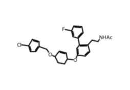 CC(=O)NCCc1ccc(OC2C=CC(OCc3ccc(Cl)cc3)CC2)cc1-c1cccc(F)c1